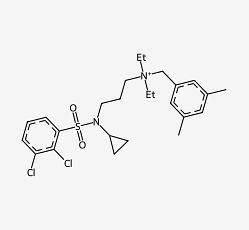 CC[N+](CC)(CCCN(C1CC1)S(=O)(=O)c1cccc(Cl)c1Cl)Cc1cc(C)cc(C)c1